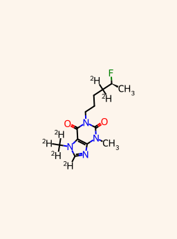 [2H]c1nc2c(c(=O)n(CCCC([2H])([2H])[C@H](C)F)c(=O)n2C)n1C([2H])([2H])[2H]